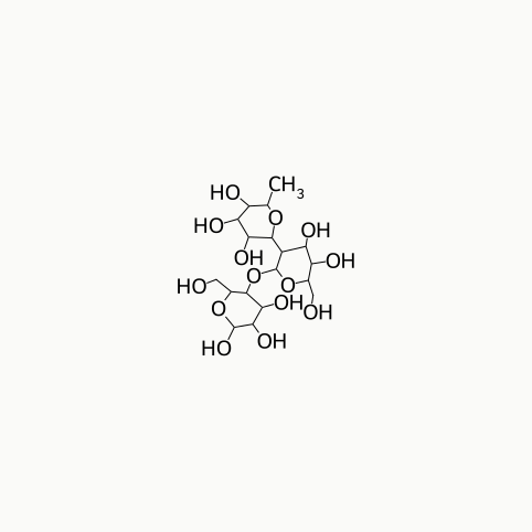 CC1OC(C2C(OC3C(CO)OC(O)C(O)C3O)OC(CO)C(O)C2O)C(O)C(O)C1O